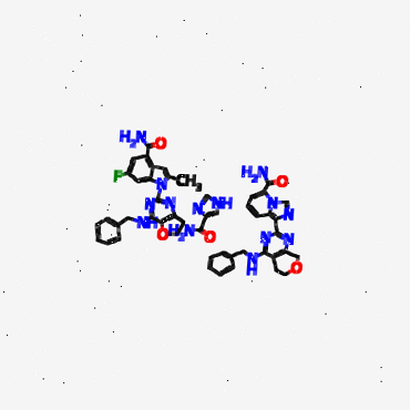 Cc1cc2c(C(N)=O)cc(F)cc2n1-c1nc2c(c(NCc3ccccc3)n1)OCC2.NC(=O)c1c[nH]cn1.NC(=O)c1cccc2c(-c3nc4c(c(NCc5ccccc5)n3)CCOC4)ncn12